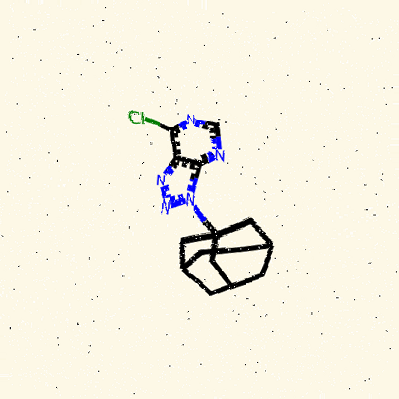 Clc1ncnc2c1nnn2C12CC3CC(CC(C3)C1)C2